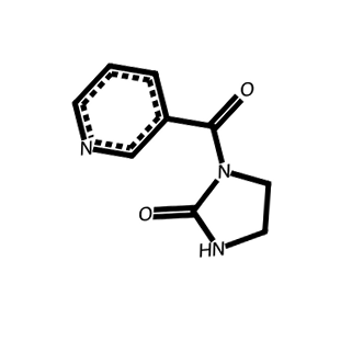 O=C1NCCN1C(=O)c1cccnc1